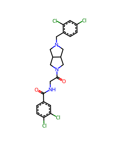 O=C(NCC(=O)N1CC2CN(Cc3ccc(Cl)cc3Cl)CC2C1)c1ccc(Cl)c(Cl)c1